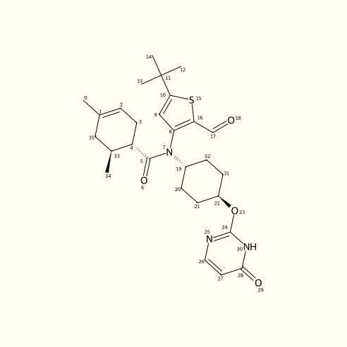 CC1=CC[C@H](C(=O)N(c2cc(C(C)(C)C)sc2C=O)[C@H]2CC[C@H](Oc3nccc(=O)[nH]3)CC2)[C@@H](C)C1